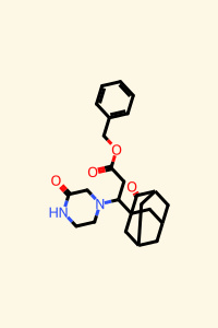 O=C1CN(C(CC(=O)OCc2ccccc2)C23CC4CC(CC(C4)C2=O)C3)CCN1